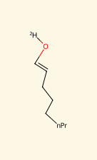 [2H]OC=CCCCCCC